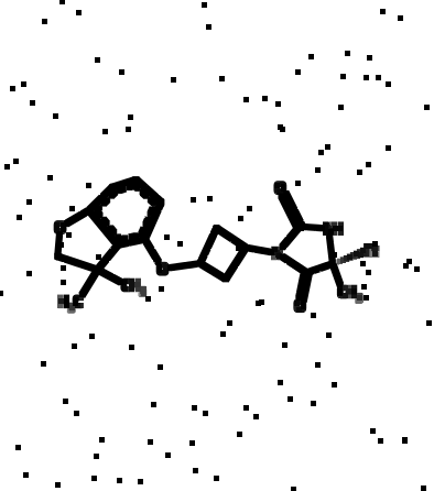 CC[C@@]1(C)NC(=O)N(C2CC(Oc3cccc4c3C(C)(C)CO4)C2)C1=O